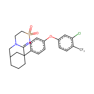 O=S1(=O)CCN2CC3CCCC(c4ccc(Oc5ccc(C(F)(F)F)c(Cl)c5)cc4)(C3)C2=N1